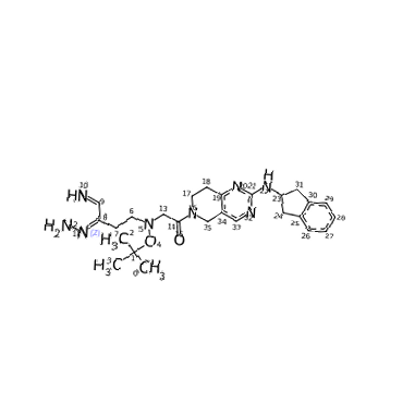 CC(C)(C)ON(CC/C(C=N)=N/N)CC(=O)N1CCc2nc(NC3Cc4ccccc4C3)ncc2C1